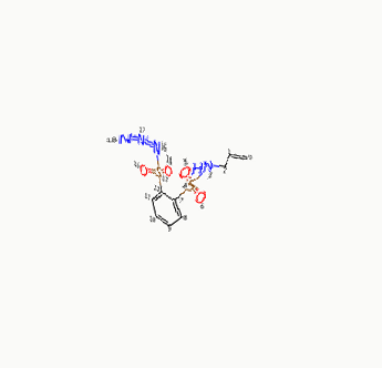 C=CCNS(=O)(=O)c1ccccc1S(=O)(=O)N=[N+]=[N-]